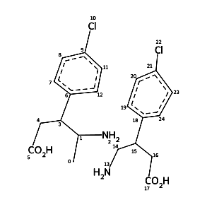 CC(N)C(CC(=O)O)c1ccc(Cl)cc1.NCC(CC(=O)O)c1ccc(Cl)cc1